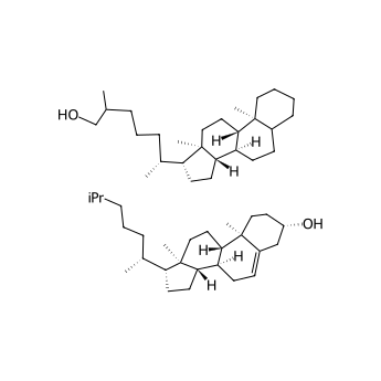 CC(C)CCC[C@@H](C)[C@H]1CC[C@H]2[C@@H]3CC=C4C[C@@H](O)CC[C@]4(C)[C@H]3CC[C@]12C.CC(CO)CCC[C@@H](C)[C@H]1CC[C@H]2[C@@H]3CCC4CCCC[C@]4(C)[C@H]3CC[C@]12C